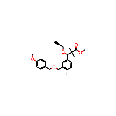 C#CCOC(c1ccc(C)c(COCc2ccc(OC)cc2)c1)C(C)(C)C(=O)OC